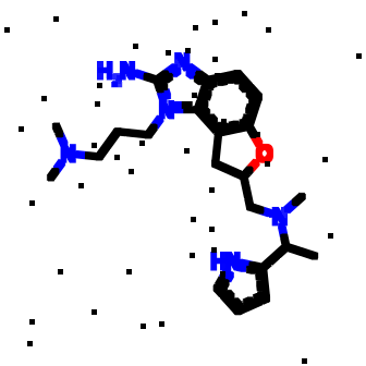 CC(c1ccc[nH]1)N(C)CC1Cc2c(ccc3nc(N)n(CCCN(C)C)c23)O1